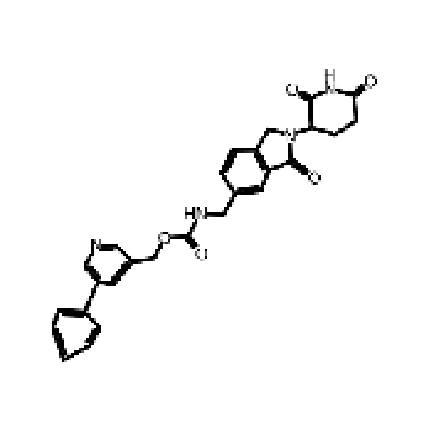 O=C1CCC(N2Cc3ccc(CNC(=O)OCc4cncc(-c5ccccc5)c4)cc3C2=O)C(=O)N1